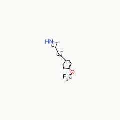 FC(F)(F)Oc1ccc(C23CC(C4CNC4)(C2)C3)cc1